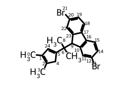 CC1=C(C)CC(C(C)(C)C2c3cc(Br)ccc3-c3ccc(Br)cc32)=C1